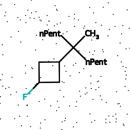 CCCCCC(C)(CCCCC)C1CC(F)C1